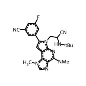 CNc1nc2c(cc(-c3cc(F)cc(C#N)c3)n2CC(C#N)NC(C)(C)C)c2c1ncn2C